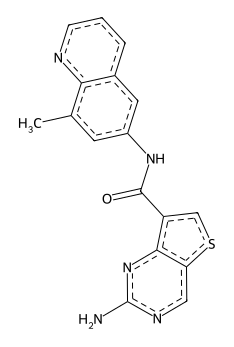 Cc1cc(NC(=O)c2csc3cnc(N)nc23)cc2cccnc12